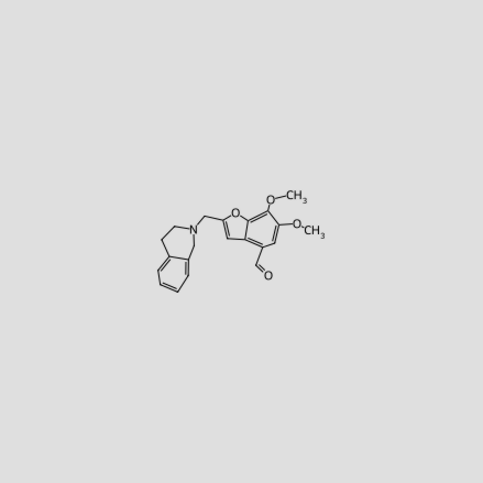 COc1cc(C=O)c2cc(CN3CCc4ccccc4C3)oc2c1OC